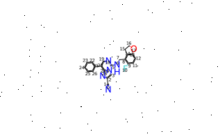 N#Cc1cn2c(NCc3c(F)ccc4c3CCO4)ncc(-c3ccccc3)c2n1